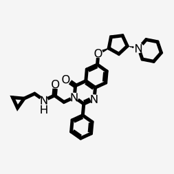 O=C(Cn1c(-c2ccccc2)nc2ccc(O[C@H]3CC[C@H](N4CCCCC4)C3)cc2c1=O)NCC1CC1